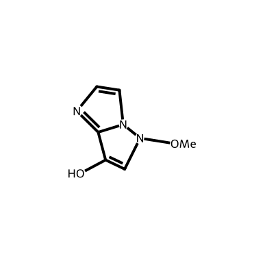 COn1cc(O)c2nccn21